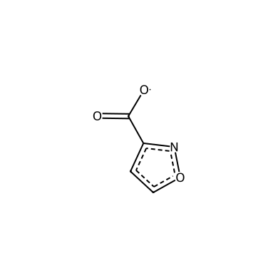 [O]C(=O)c1ccon1